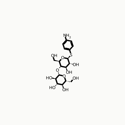 Nc1ccc(S[C@@H]2O[C@H](CO)[C@@H](O[C@@H]3O[C@H](CO)[C@@H](O)[C@H](O)[C@H]3O)[C@H](O)[C@H]2O)cc1